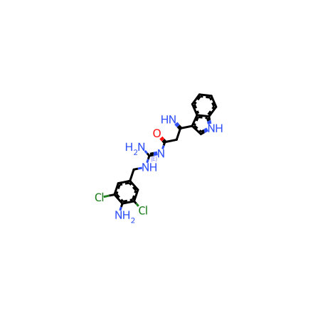 N=C(CC(=O)/N=C(\N)NCc1cc(Cl)c(N)c(Cl)c1)c1c[nH]c2ccccc12